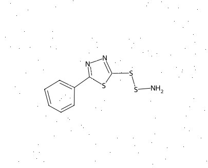 NSSc1nnc(-c2ccccc2)s1